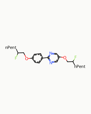 CCCCCC(F)COc1ccc(-c2ncc(OCC(F)CCCCC)cn2)cc1